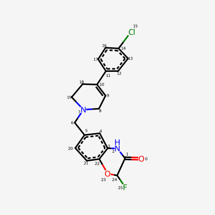 O=C1Nc2cc(CN3CC=C(c4ccc(Cl)cc4)CC3)ccc2OC1F